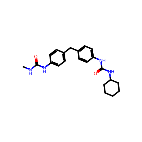 CNC(=O)Nc1ccc(Cc2ccc(NC(=O)NC3CCCCC3)cc2)cc1